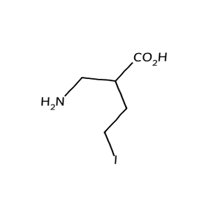 NCC(CCI)C(=O)O